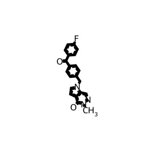 Cn1ncc2c(ccn2Cc2ccc(C(=O)c3ccc(F)cc3)cc2)c1=O